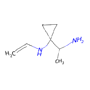 C=CNC1(C(C)N)CC1